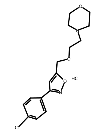 Cl.Clc1ccc(-c2cc(COCCN3CCOCC3)on2)cc1